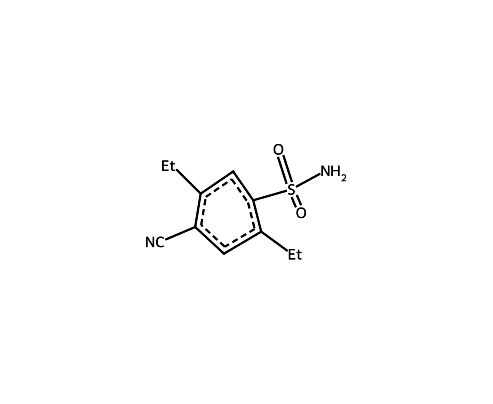 CCc1cc(S(N)(=O)=O)c(CC)cc1C#N